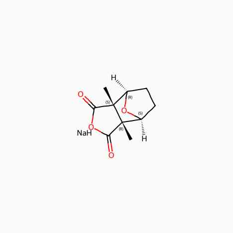 C[C@@]12C(=O)OC(=O)[C@]1(C)[C@H]1CC[C@@H]2O1.[NaH]